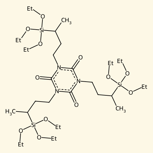 CCO[Si](OCC)(OCC)C(C)CCn1c(=O)n(CCC(C)[Si](OCC)(OCC)OCC)c(=O)n(CCC(C)[Si](OCC)(OCC)OCC)c1=O